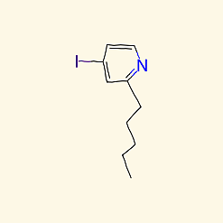 CCCCCc1cc(I)ccn1